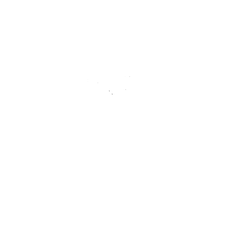 C=CC(=O)N(CCCCCCC)C(=O)C=C